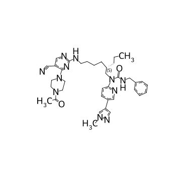 CCC[C@@H](CCCCNc1ncc(C#N)c(N2CCN(C(C)=O)CC2)n1)CN(C(=O)NCc1ccccc1)c1ccc(-c2cnn(C)c2)cn1